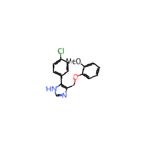 COc1ccccc1OCc1nc[nH]c1-c1ccc(Cl)cc1